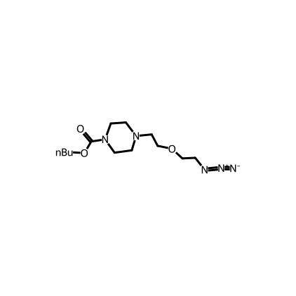 CCCCOC(=O)N1CCN(CCOCCN=[N+]=[N-])CC1